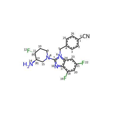 N#Cc1ccc(Cn2c(N3CC[C@@H](F)[C@H](N)C3)nc3c(F)cc(F)cc32)cc1